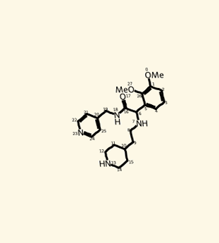 COc1cccc(C(NCCC2CCNCC2)C(=O)NCc2ccncc2)c1OC